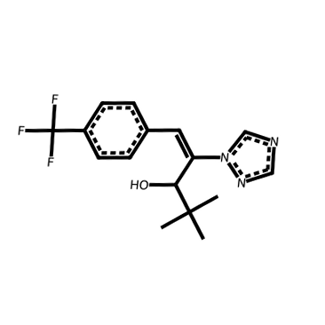 CC(C)(C)C(O)/C(=C\c1ccc(C(F)(F)F)cc1)n1cncn1